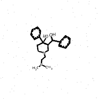 CN(C)CCN1CCC(O)(c2ccccc2)C(C(O)c2ccccc2)C1